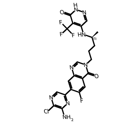 C[C@@H](CCCn1cnc2cc(-c3cnc(Cl)c(N)n3)c(F)cc2c1=O)Nc1cn[nH]c(=O)c1C(F)(F)F